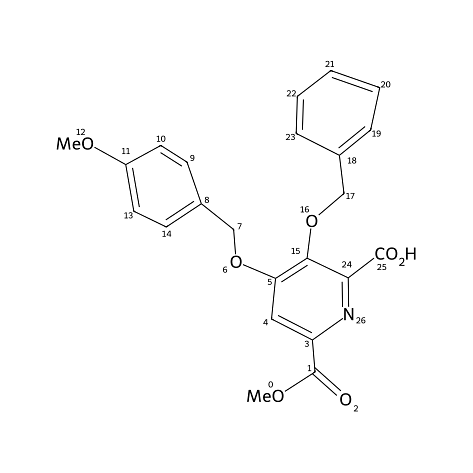 COC(=O)c1cc(OCc2ccc(OC)cc2)c(OCc2ccccc2)c(C(=O)O)n1